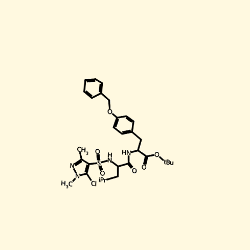 Cc1nn(C)c(Cl)c1S(=O)(=O)NC(CC(C)C)C(=O)NC(Cc1ccc(OCc2ccccc2)cc1)C(=O)OC(C)(C)C